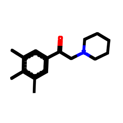 Cc1cc(C(=O)CN2CCCCC2)cc(C)c1C